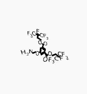 NCCOc1cc(C(=O)OCCC(F)(C(F)(F)F)C(F)(F)F)cc(C(=O)OCCC(F)(C(F)(F)F)C(F)(F)F)c1